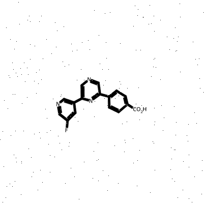 O=C(O)c1ccc(-c2cncc(-c3cncc(F)c3)n2)cc1